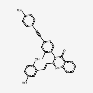 Cc1cc(C#Cc2ccc(C(C)(C)C)cc2)ccc1-n1c(/C=C/c2cc(O)ccc2O)nc2ccccc2c1=O